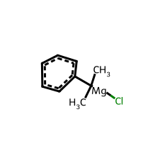 C[C](C)([Mg][Cl])c1ccccc1